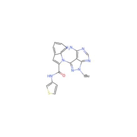 CC(C)(C)n1nc(-n2c(C(=O)Nc3ccsc3)cc3ccccc32)c2c(N)ncnc21